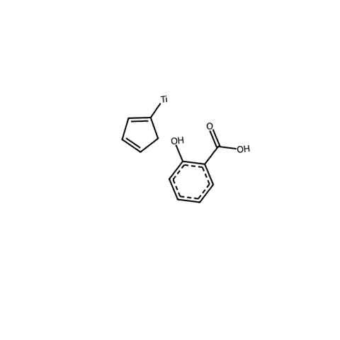 O=C(O)c1ccccc1O.[Ti][C]1=CC=CC1